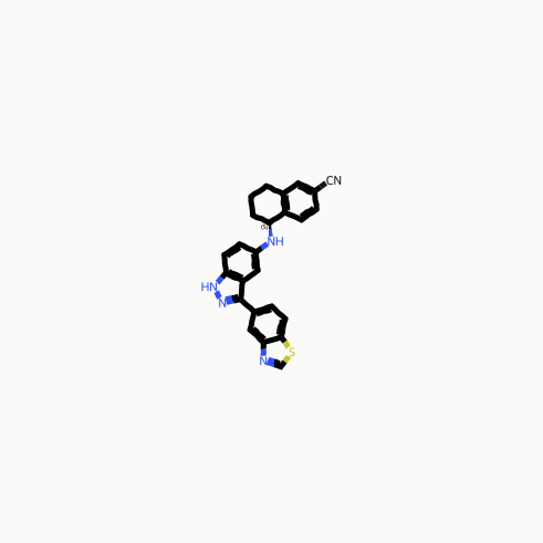 N#Cc1ccc2c(c1)CCC[C@@H]2Nc1ccc2[nH]nc(-c3ccc4scnc4c3)c2c1